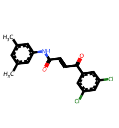 Cc1cc(C)cc(NC(=O)C=CC(=O)c2cc(Cl)cc(Cl)c2)c1